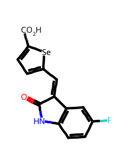 O=C1Nc2ccc(F)cc2/C1=C/c1ccc(C(=O)O)[se]1